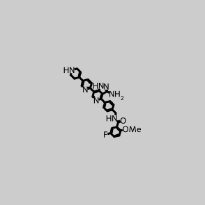 COc1ccc(F)cc1C(=O)NCc1ccc(-c2ncc(-c3ccc(C4=CCNCC4)cn3)c3[nH]nc(N)c23)cc1